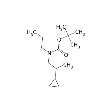 CCCN(CC(C)C1CC1)C(=O)OC(C)(C)C